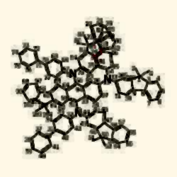 CC1(C)c2ccccc2-c2ccc(N(c3ccc(-c4ccccc4)cc3)c3ccc4c(N(c5ccc(-c6ccccc6)cc5)c5ccc6c(c5)C(C)(C)c5ccccc5-6)c5cc6c(cc5c(N(c5ccc(-c7ccccc7)cc5)c5ccc7c(c5)C(C)(C)c5ccccc5-7)c4c3)-c3ccccc3C6(C)C)cc21